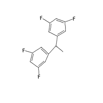 C[C](c1cc(F)cc(F)c1)c1cc(F)cc(F)c1